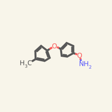 Cc1ccc(Oc2ccc(ON)cc2)cc1